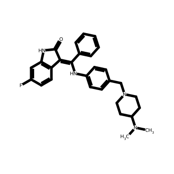 CN(C)C1CCN(Cc2ccc(NC(=C3C(=O)Nc4cc(F)ccc43)c3ccccc3)cc2)CC1